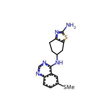 CSc1ccc2ncnc(NC3CCc4nc(N)sc4C3)c2c1